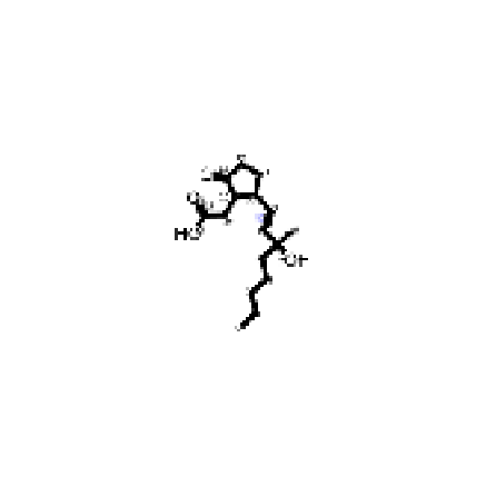 CCCCCC(C)(O)/C=C/C1CCC(=O)C1CC(=O)O